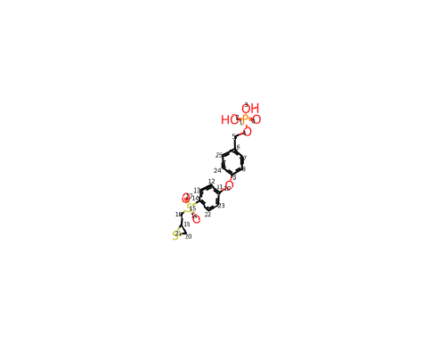 O=P(O)(O)OCc1ccc(Oc2ccc(S(=O)(=O)CC3CS3)cc2)cc1